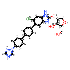 OC[C@H]1OC[C@@H](Oc2nc3cc(-c4ccc(-c5ccc(-n6cncn6)cc5)cc4)c(Cl)cc3[nH]2)[C@@H]1O